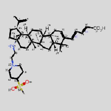 C=C(C)[C@@H]1CC[C@]2(NCCN3CCC(S(C)(=O)=O)CC3)CC[C@]3(C)[C@H](CC[C@@H]4[C@@]5(C)CC=C(/C=C/C=C/C(=O)O)C(C)(C)[C@@H]5CC[C@]43C)[C@@H]12